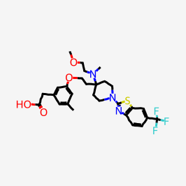 COCCN(C)C1(CCOc2cc(C)cc(CC(=O)O)c2)CCN(c2nc3ccc(C(F)(F)F)cc3s2)CC1